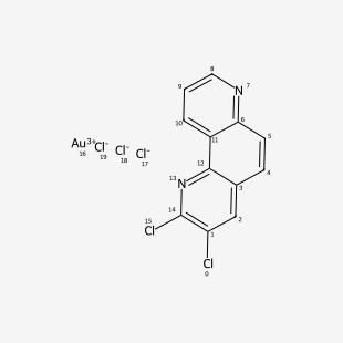 Clc1cc2ccc3ncccc3c2nc1Cl.[Au+3].[Cl-].[Cl-].[Cl-]